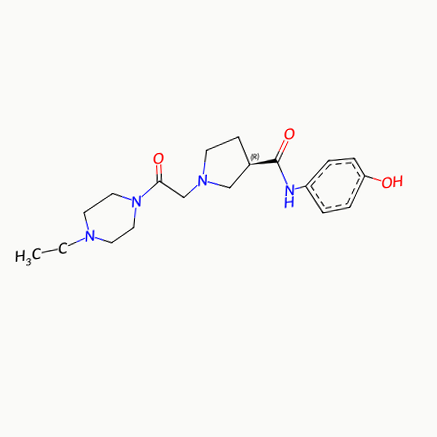 CCN1CCN(C(=O)CN2CC[C@@H](C(=O)Nc3ccc(O)cc3)C2)CC1